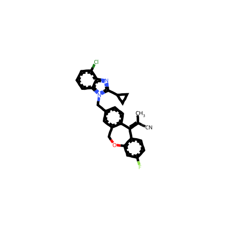 CC(C#N)=C1c2ccc(Cn3c(C4CC4)nc4c(Cl)cccc43)cc2COc2cc(F)ccc21